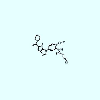 CCOCCNNC1C=C(N2COc3cc(C(=O)N4CCCC4)n(C)c32)C=CN1C=O